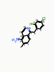 Cc1ccc2c(Cc3ccc(Cl)cc3F)nccc2c1N